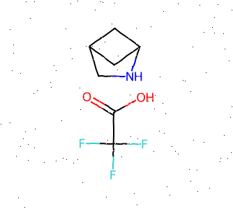 C1NC2CC1C2.O=C(O)C(F)(F)F